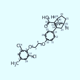 Cc1cc(Cl)c(OCCOc2ccc(C3=C(C(=O)O)[C@H]4CC[C@@H](C3)N4)cc2)c(Cl)c1